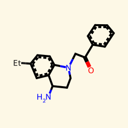 CCc1ccc2c(c1)C(N)CCN2CC(=O)c1ccccc1